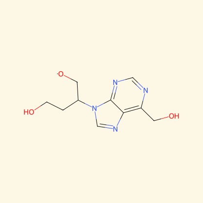 [O]CC(CCO)n1cnc2c(CO)ncnc21